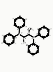 CC[C@H]([C@@H](C)P(c1ccccc1)c1ccccc1)P(c1ccccc1)c1ccccc1